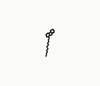 CCCCCCCCCCCCc1cccc2c1Cc1ccccc1-2